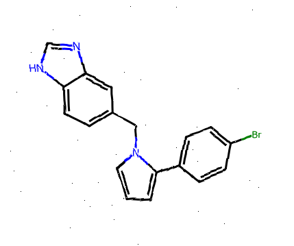 Brc1ccc(-c2c[c]cn2Cc2ccc3[nH]cnc3c2)cc1